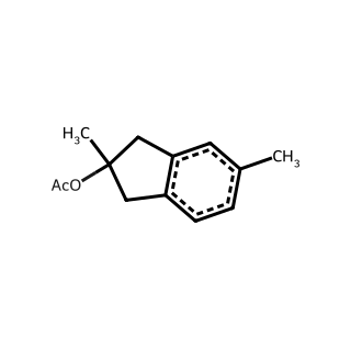 CC(=O)OC1(C)Cc2ccc(C)cc2C1